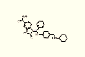 COC(=O)c1ccc2c(c1)NC(=O)/C2=C(\Nc1ccc(CNC2CCCCC2)cc1)c1ccccc1